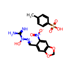 Cc1ccc(S(=O)(=O)O)cc1.N=C(N)N(O)/N=C/c1cc2c(cc1[N+](=O)[O-])OCO2